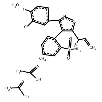 C.C=CC(C)c1onc(-c2ccc(F)c(Cl)c2)c1-c1ccccc1S(N)(=O)=O.NC(O)=S.NC(O)=S.O